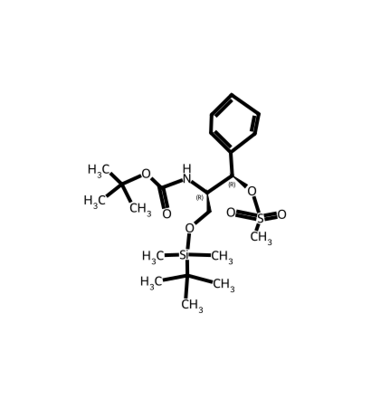 CC(C)(C)OC(=O)N[C@H](CO[Si](C)(C)C(C)(C)C)[C@H](OS(C)(=O)=O)c1ccccc1